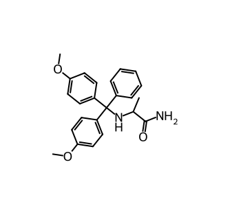 COc1ccc(C(NC(C)C(N)=O)(c2ccccc2)c2ccc(OC)cc2)cc1